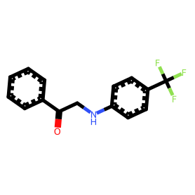 O=C(CNc1ccc(C(F)(F)F)cc1)c1ccccc1